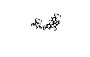 Cc1ccc2c(c1)Oc1cc(OC/C=C3/CN4C(=O)C(C)C4O3)ccc1C21OC(=O)c2ccccc21